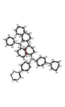 C1=CCCC(c2ccc(N(c3ccc(-c4ccccc4)cc3)c3ccc(-c4ccc5ccccc5c4N(c4ccccc4)c4ccccc4)cc3)cc2)=C1